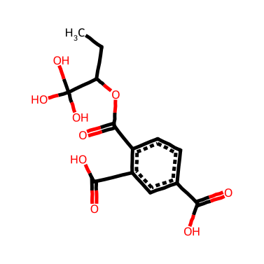 CCC(OC(=O)c1ccc(C(=O)O)cc1C(=O)O)C(O)(O)O